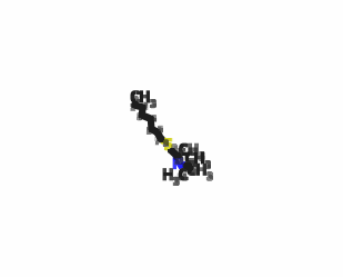 CCCCCCCCSC/C(C)=N/C(C)(C)C